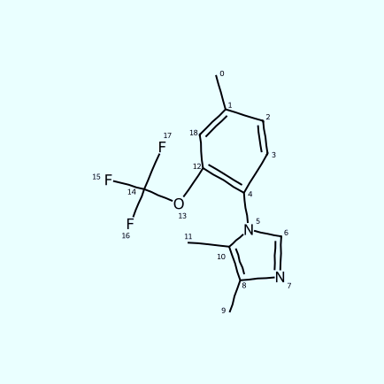 Cc1ccc(-n2cnc(C)c2C)c(OC(F)(F)F)c1